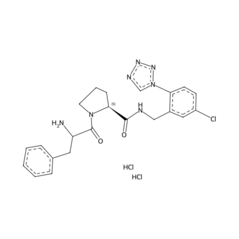 Cl.Cl.NC(Cc1ccccc1)C(=O)N1CCC[C@H]1C(=O)NCc1cc(Cl)ccc1-n1cnnn1